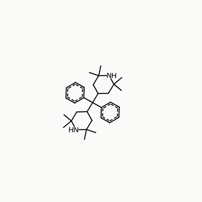 CC1(C)CC(C(c2ccccc2)(c2ccccc2)C2CC(C)(C)NC(C)(C)C2)CC(C)(C)N1